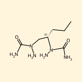 CCC[C@@H](CN(N)C(N)=O)N(N)C(N)=O